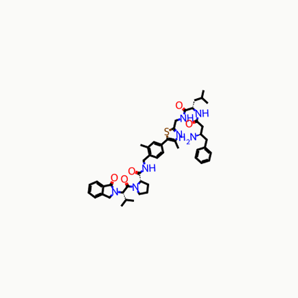 Cc1cc(-c2sc(CNC(=O)[C@H](CC(C)C)NC(=O)C[C@H](N)Cc3ccccc3)nc2C)ccc1CNC(=O)[C@@H]1CCCN1C(=O)[C@H](C(C)C)N1Cc2ccccc2C1=O